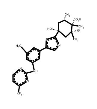 CC[C@]1(C)C[C@@](O)(c2ncc(-c3cc(C)cc(Nc4nccc(C(F)(F)F)n4)c3)s2)C[C@H](C)[C@]1(C)C(=O)O